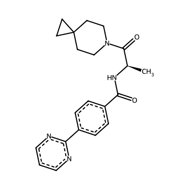 C[C@@H](NC(=O)c1ccc(-c2ncccn2)cc1)C(=O)N1CCC2(CC1)CC2